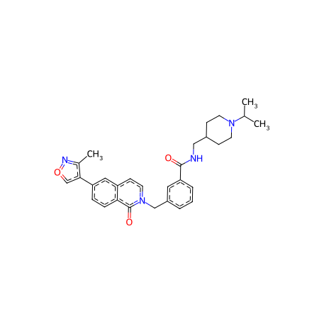 Cc1nocc1-c1ccc2c(=O)n(Cc3cccc(C(=O)NCC4CCN(C(C)C)CC4)c3)ccc2c1